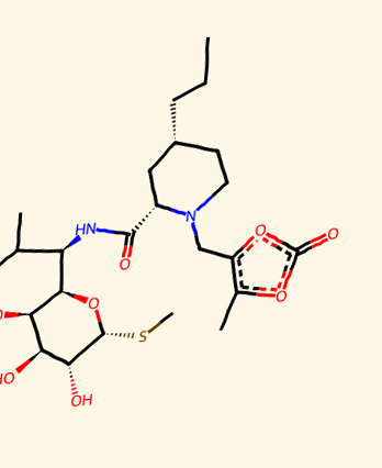 CCC[C@@H]1CCN(Cc2oc(=O)oc2C)[C@H](C(=O)N[C@H](C(C)C)[C@H]2O[C@H](SC)[C@H](O)[C@@H](O)[C@H]2O)C1